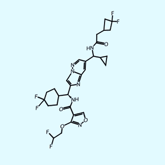 O=C(CC1CC(F)(F)C1)NC(c1cnn2cc([C@@H](NC(=O)c3conc3OCC(F)F)C3CCC(F)(F)CC3)nc2c1)C1CC1